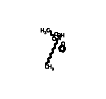 CCCCCCCCCCCC(=NO)OC(=O)CCC.c1ccc2c(c1)O2